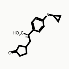 O=C1CCC(C[C@@H](C(=O)O)c2ccc(SC3CC3)cc2)C1